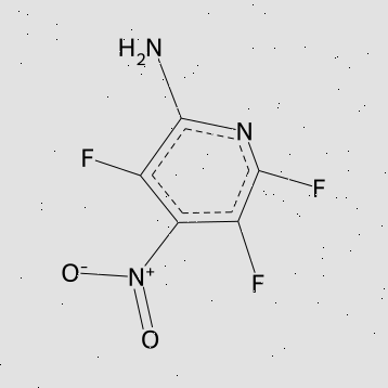 Nc1nc(F)c(F)c([N+](=O)[O-])c1F